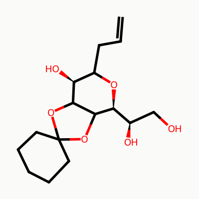 C=CCC1O[C@@H]([C@H](O)CO)C2OC3(CCCCC3)OC2[C@H]1O